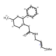 CS/C=C/CNC(=O)CN1CCC(C)CC1c1ccccc1